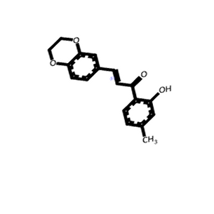 Cc1ccc(C(=O)/C=C/c2ccc3c(c2)OCCO3)c(O)c1